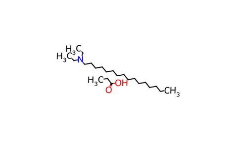 CCC(=O)O.CCCCCCCCCCCCCCCCN(CC)CC